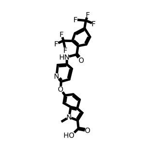 Cn1c(C(=O)O)cc2ccc(Oc3ccc(NC(=O)c4ccc(C(F)(F)F)cc4C(F)(F)F)cn3)cc21